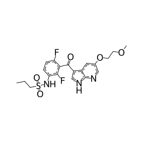 CCCS(=O)(=O)Nc1ccc(F)c(C(=O)c2c[nH]c3ncc(OCCOC)cc23)c1F